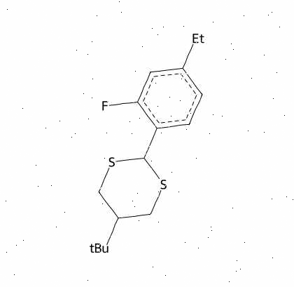 CCc1ccc(C2SCC(C(C)(C)C)CS2)c(F)c1